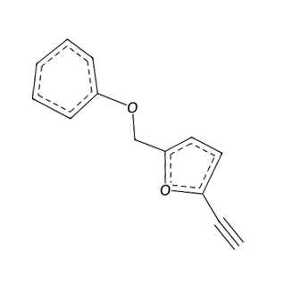 C#Cc1ccc(COc2ccccc2)o1